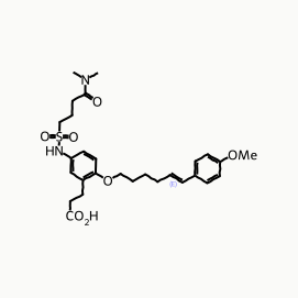 COc1ccc(/C=C/CCCCOc2ccc(NS(=O)(=O)CCCC(=O)N(C)C)cc2CCC(=O)O)cc1